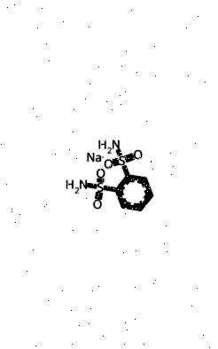 NS(=O)(=O)c1ccccc1S(N)(=O)=O.[Na]